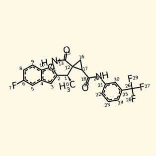 C[C@@H](c1cc2cc(F)ccc2o1)C1(C(N)=O)CC1C(=O)Nc1cccc(C(F)(F)F)c1